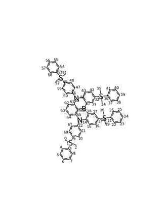 CS(C)(c1ccccc1)c1ccc(N2c3ccc(S(C)(C)c4ccccc4)cc3B3c4cc(S(C)(C)c5ccccc5)ccc4N(c4ccc(S(C)(C)c5ccccc5)cc4)c4cccc2c43)cc1